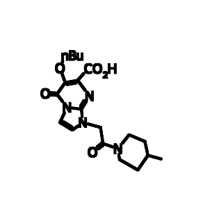 CCCCOc1c(C(=O)O)nc2n(CC(=O)N3CCC(C)CC3)ccn2c1=O